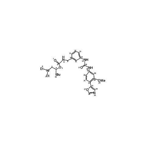 CCN(CC)CC(OC(=O)NCc1cccc(NC(=O)Nc2ccc(-c3cnco3)c(OC)c2)c1)C(C)(C)C